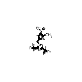 Cc1sc(Cn2nc(C(F)(F)F)nc2C(F)(F)F)cc1[N+](=O)[O-]